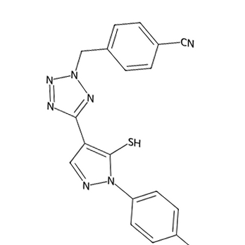 Cc1ccc(-n2ncc(-c3nnn(Cc4ccc(C#N)cc4)n3)c2S)cc1